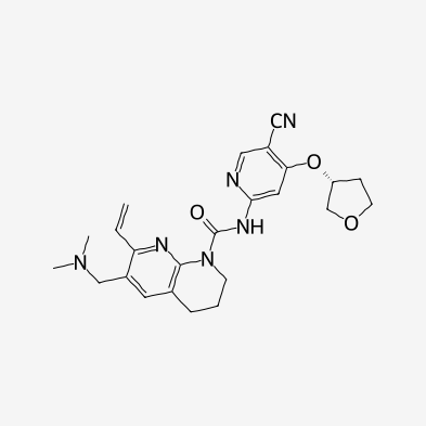 C=Cc1nc2c(cc1CN(C)C)CCCN2C(=O)Nc1cc(O[C@@H]2CCOC2)c(C#N)cn1